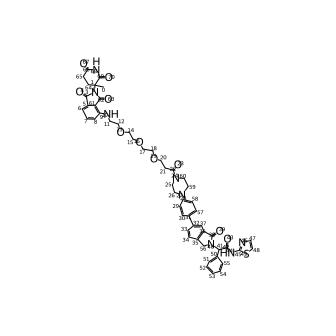 CC1(N2C(=O)c3cccc(NCCOCCOCCOCCC(=O)N4CCN(c5ccc(-c6ccc7c(c6)C(=O)N(C(C(=O)Nc6nccs6)c6ccccc6)C7)cc5)CC4)c3C2=O)CCC(=O)NC1=O